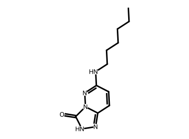 CCCCCCNc1ccc2n[nH]c(=O)n2n1